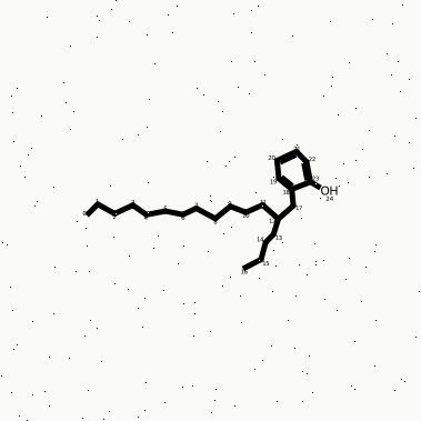 CCCCCCCCCCCCC(CCCC)Cc1ccccc1O